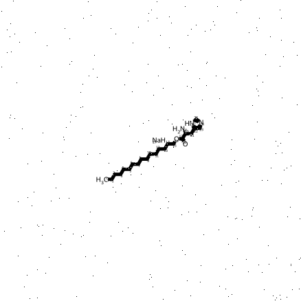 CCCCCCCCCCCCCCCCOC(=O)[C@@H](N)Cc1cnc[nH]1.[NaH]